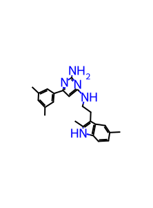 Cc1cc(C)cc(-c2cc(NCCc3c(C)[nH]c4ccc(C)cc34)nc(N)n2)c1